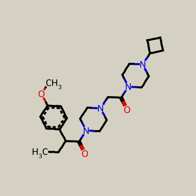 CCC(C(=O)N1CCN(CC(=O)N2CCN(C3CCC3)CC2)CC1)c1ccc(OC)cc1